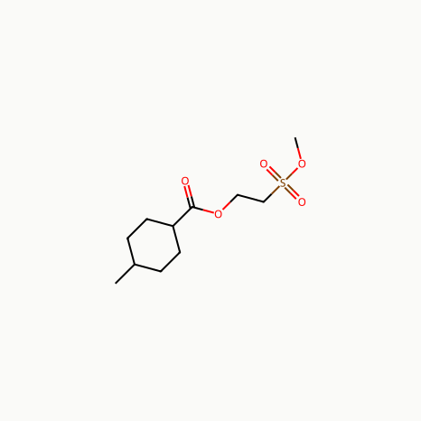 COS(=O)(=O)CCOC(=O)C1CCC(C)CC1